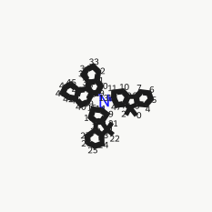 CC1(C)c2ccccc2-c2ccc(N(c3ccc4c(c3)C(C)(C)c3ccccc3-4)c3cc4ccccc4c4c3ccc3ccccc34)cc21